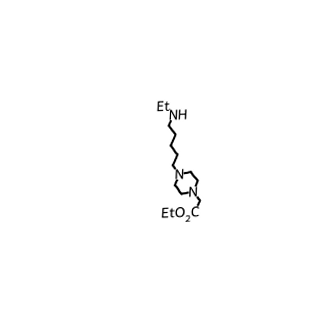 CCNCCCCCN1CCN(CC(=O)OCC)CC1